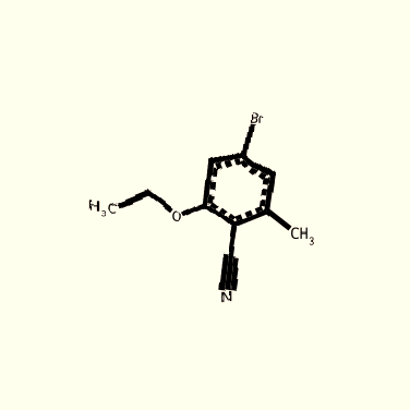 CCOc1cc(Br)cc(C)c1C#N